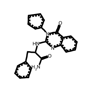 NC(=O)C(Cc1ccccc1)Nc1nc2ccccc2c(=O)n1-c1ccccc1